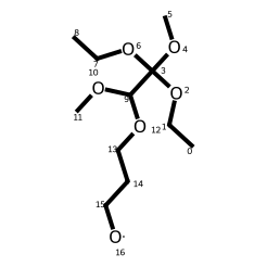 CCOC(OC)(OCC)C(OC)OCCC[O]